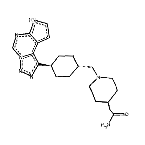 NC(=O)C1CCN(C[C@H]2CC[C@H](c3nnn4cnc5[nH]ccc5c34)CC2)CC1